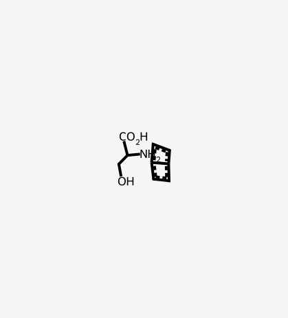 NC(CO)C(=O)O.c1cc2ccc1-2